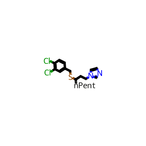 CCCCCC(CCn1ccnc1)SCc1ccc(Cl)c(Cl)c1